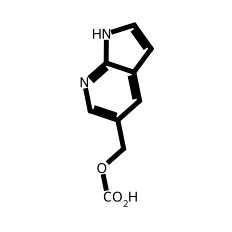 O=C(O)OCc1cnc2[nH]ccc2c1